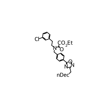 CCCCCCCCCCCc1noc(-c2ccc(CN(CCc3cccc(Cl)c3)C(=O)C(=O)OCC)cc2)n1